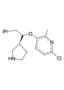 Cc1nc(Cl)ccc1OC(CC(C)C)[C@H]1CCNC1